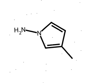 Cc1ccn(N)c1